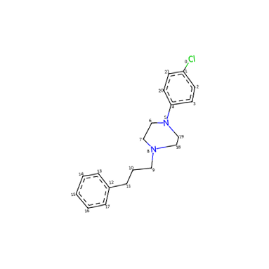 Clc1ccc(N2CCN(CCCc3ccccc3)CC2)cc1